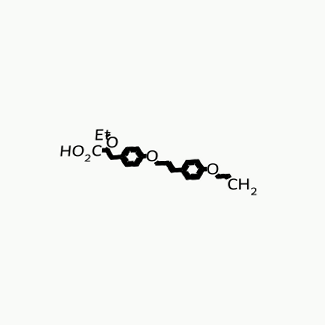 C=CCOc1ccc(C=CCOc2ccc(CC(OCC)C(=O)O)cc2)cc1